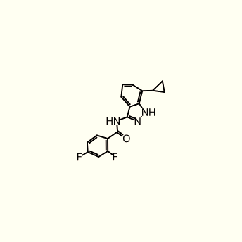 O=C(Nc1n[nH]c2c(C3CC3)cccc12)c1ccc(F)cc1F